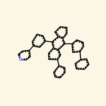 c1ccc(-c2cccc(-c3c4ccccc4c(-c4cccc(-c5ccncc5)c4)c4ccc(-c5ccccc5)cc34)c2)cc1